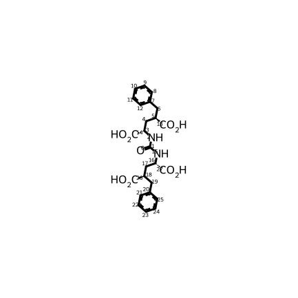 O=C(N[C@@H](C[C@@H](Cc1ccccc1)C(=O)O)C(=O)O)N[C@@H](C[C@@H](Cc1ccccc1)C(=O)O)C(=O)O